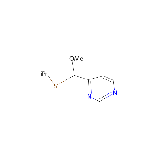 COC(SC(C)C)c1ccncn1